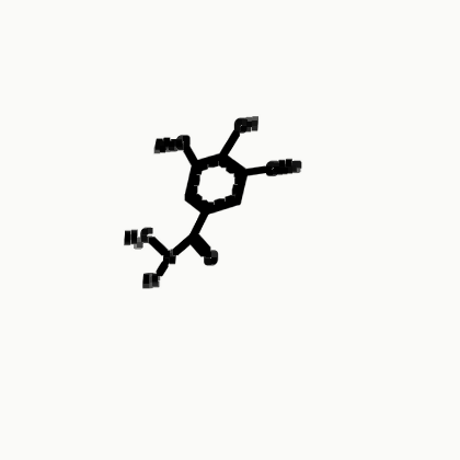 CCN(C)C(=O)c1cc(OC)c(O)c(OC)c1